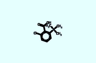 C[Si](C)(C)c1cccc(Cl)c1C(=O)O